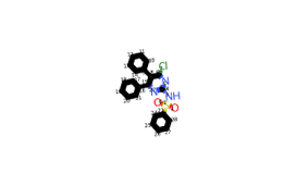 O=S(=O)(Nc1nc(Cl)c(-c2ccccc2)c(-c2ccccc2)n1)c1ccccc1